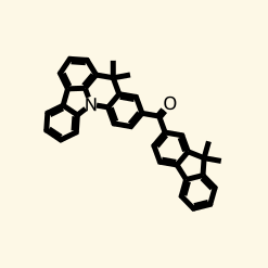 CC1(C)c2ccccc2-c2ccc(C(=O)c3ccc4c(c3)C(C)(C)c3cccc5c6ccccc6n-4c35)cc21